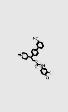 CN1CCC(C(COC(=O)Nc2ccc(Cl)c(Cl)c2)c2ccc(-c3cccc(C#N)c3)cc2)CC1